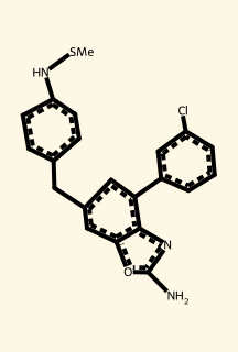 CSNc1ccc(Cc2cc(-c3cccc(Cl)c3)c3nc(N)oc3c2)cc1